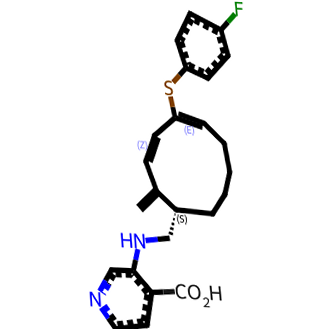 C=C1/C=C\C(Sc2ccc(F)cc2)=C/CCCC[C@@H]1CNc1cnccc1C(=O)O